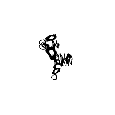 C=C(Nc1ccn(C)n1)C(CC1CCC(=O)C1)c1ccc2c(c1)N(C)c1ccccc1S2(=O)=O